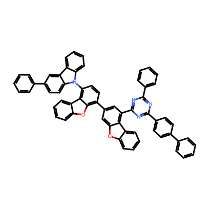 c1ccc(-c2ccc(-c3nc(-c4ccccc4)nc(-c4cc(-c5ccc(-n6c7ccccc7c7cc(-c8ccccc8)ccc76)c6c5oc5ccccc56)cc5oc6ccccc6c45)n3)cc2)cc1